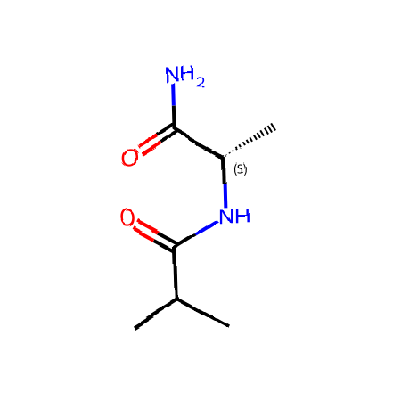 CC(C)C(=O)N[C@@H](C)C(N)=O